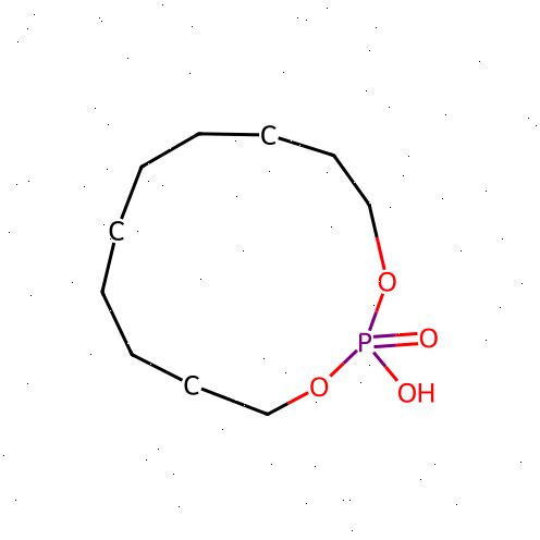 O=P1(O)OCCCCCCCCCCO1